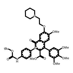 COC(=O)c1c(-c2cc(OC)c(OC)c(OC)c2)c2cc(OC)c(OCCN3CCCCC3)cc2c(=O)n1-c1ccc(NC(=O)OC(C)(C)C)cc1